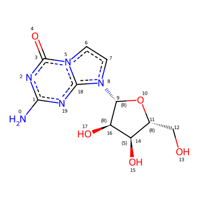 Nc1nc(=O)n2ccn([C@@H]3O[C@H](CO)[C@@H](O)[C@H]3O)c2n1